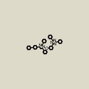 c1ccc(-c2ccc(-c3cc(-c4ccccc4Oc4cccc(-c5nc(-c6ccccc6)nc(-c6ccccc6)n5)c4)nc(-c4ccccc4)n3)cc2)cc1